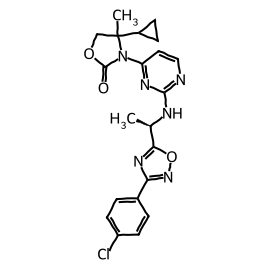 C[C@@H](Nc1nccc(N2C(=O)OCC2(C)C2CC2)n1)c1nc(-c2ccc(Cl)cc2)no1